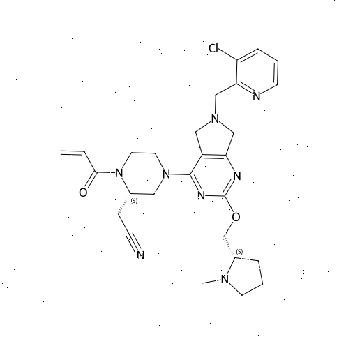 C=CC(=O)N1CCN(c2nc(OC[C@@H]3CCCN3C)nc3c2CN(Cc2ncccc2Cl)C3)C[C@@H]1CC#N